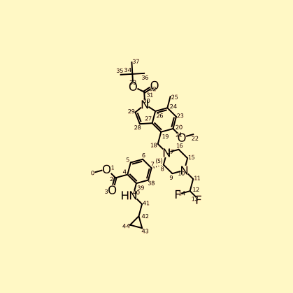 COC(=O)c1ccc([C@H]2CN(CC(F)F)CCN2Cc2c(OC)cc(C)c3c2ccn3C(=O)OC(C)(C)C)cc1NCC1CC1